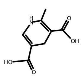 CC1=C(C(=O)O)CC(C(=O)O)=CN1